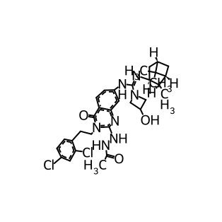 CC(=O)NNc1nc2cc(N/C(=N/[C@H]3C[C@@H]4C[C@H]([C@@H]3C)C4(C)C)N3CC(O)C3)ccc2c(=O)n1CCc1ccc(Cl)cc1Cl